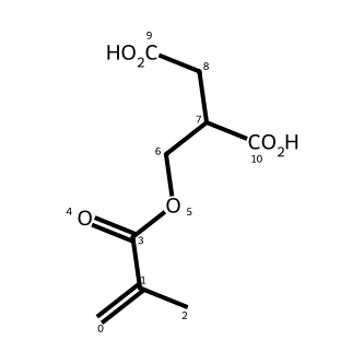 C=C(C)C(=O)OCC(CC(=O)O)C(=O)O